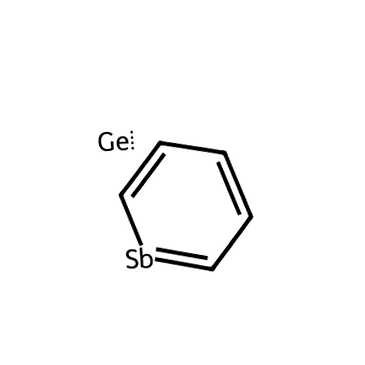 C1=C[CH]=[Sb][CH]=C1.[Ge]